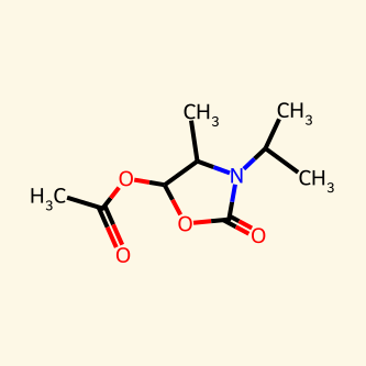 CC(=O)OC1OC(=O)N(C(C)C)C1C